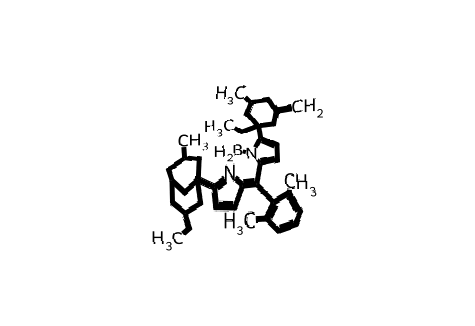 Bn1c(/C(=C2/C=CC(C34CC(C)CC(CC(CC)C3)C4)=N2)c2c(C)cccc2C)ccc1C1(CC)CC(=C)CC(C)C1